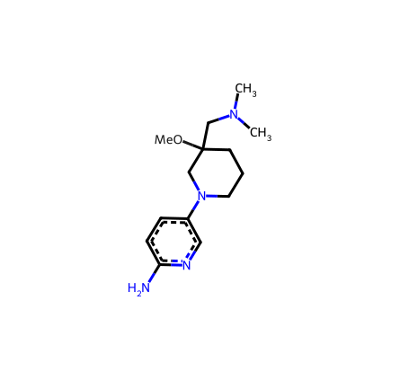 COC1(CN(C)C)CCCN(c2ccc(N)nc2)C1